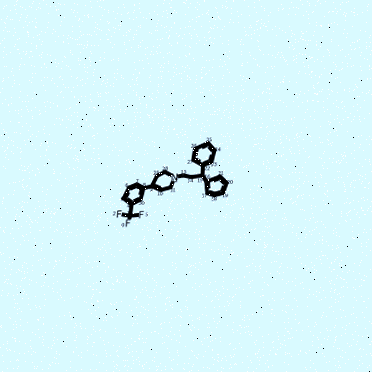 FC(F)(F)c1cccc(C2=CCN(CCC(c3ccccc3)c3ccccc3)CC2)c1